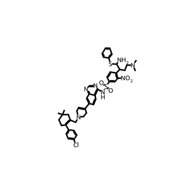 CN(C)CCC(c1ccc(S(=O)(=O)Nc2ncnc3cc(C4=CCN(CC5=C(c6ccc(Cl)cc6)CCC(C)(C)C5)CC4)ccc23)cc1[N+](=O)[O-])C(N)Sc1ccccc1